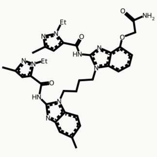 CCn1nc(C)cc1C(=O)Nc1nc2cc(C)ccc2n1CCCCn1c(NC(=O)c2cc(C)nn2CC)nc2c(OCC(N)=O)cccc21